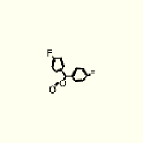 O=COC(c1ccc(F)cc1)c1ccc(F)cc1